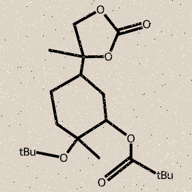 CC(C)(C)OC1(C)CCC(C2(C)COC(=O)O2)CC1OC(=O)C(C)(C)C